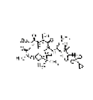 C=C[C@@H]1C[C@]1(NC(=O)[C@@H]1C[C@@]2(CN1C(=O)[C@@H](NC(=O)[C@@H](CC(=O)N(C)C)C(C)(C)C)C(C)(C)C)C(C)(C)C21CCC1)C(=O)NS(=O)(=O)C1CC1